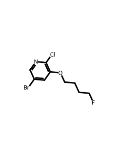 FCCCCOc1cc(Br)cnc1Cl